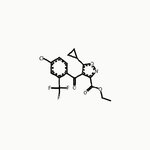 CCOC(=O)c1noc(C2CC2)c1C(=O)c1ccc(Cl)cc1C(F)(F)F